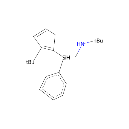 CCCCNC[SiH](C1=C(C(C)(C)C)C=CC1)c1ccccc1